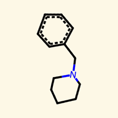 c1ccc(CN2CCCCC2)cc1